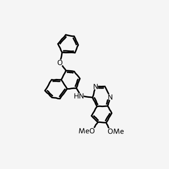 COc1cc2ncnc(Nc3ccc(Oc4ccccc4)c4ccccc34)c2cc1OC